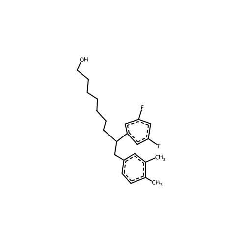 Cc1ccc(CC(CCCCCCCO)c2cc(F)cc(F)c2)cc1C